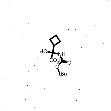 CC(C)(C)OC(=O)NC(O)(C(=O)O)C1CCC1